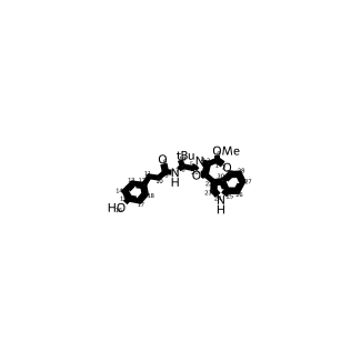 COC(=O)c1nc(C(NC(=O)CCc2ccc(O)cc2)C(C)(C)C)oc1-c1c[nH]c2ccccc12